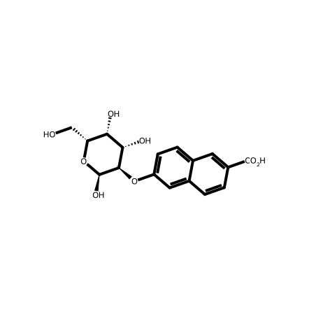 O=C(O)c1ccc2cc(O[C@@H]3[C@@H](O)[C@@H](O)[C@@H](CO)O[C@@H]3O)ccc2c1